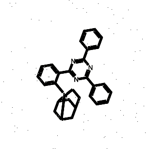 c1ccc(-c2nc(-c3ccccc3)nc(-c3ccccc3N3C4CC5CC(C4)CC3C5)n2)cc1